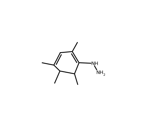 CC1=CC(C)=C(NN)C(C)C1C